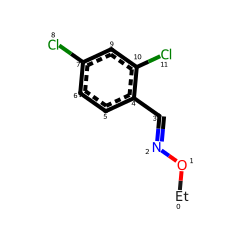 CCON=Cc1c[c]c(Cl)cc1Cl